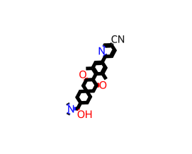 Cc1cc(-c2ccc(C#N)cn2)cc(C)c1C1C(=O)CC2(CCC(C(O)N(C)C)CC2)CC1=O